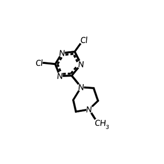 CN1CCN(c2nc(Cl)nc(Cl)n2)CC1